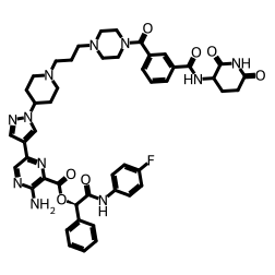 Nc1ncc(-c2cnn(C3CCN(CCCN4CCN(C(=O)c5cccc(C(=O)NC6CCC(=O)NC6=O)c5)CC4)CC3)c2)nc1C(=O)O[C@@H](C(=O)Nc1ccc(F)cc1)c1ccccc1